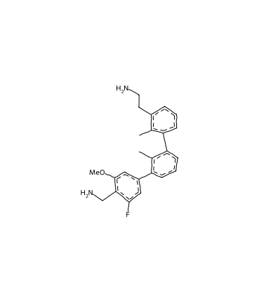 COc1cc(-c2cccc(-c3cccc(CCN)c3C)c2C)cc(F)c1CN